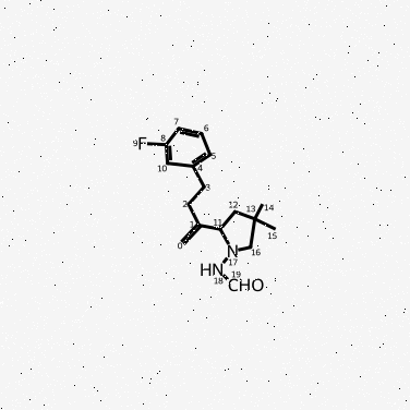 C=C(CCc1cccc(F)c1)C1CC(C)(C)CN1NC=O